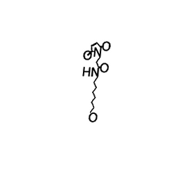 O=CCCCCCCCNC(=O)CCN1C(=O)C=CC1=O